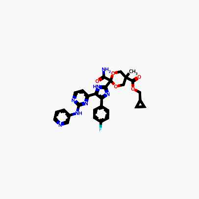 CC1(C(=O)OCC2CC2)COC(C(N)=O)(c2nc(-c3ccc(F)cc3)c(-c3ccnc(Nc4cccnc4)n3)[nH]2)OC1